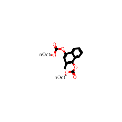 CCCCCCCCOC(=O)Oc1cc(C)c(OC(=O)OCCCCCCCC)c2ccccc12